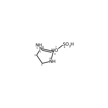 C1=NCCN1.N.O=S(=O)(O)O